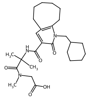 CN(CC(=O)O)C(=O)C(C)(C)NC(=O)c1cc2c(n(CC3CCCCC3)c1=O)CCCCCC2